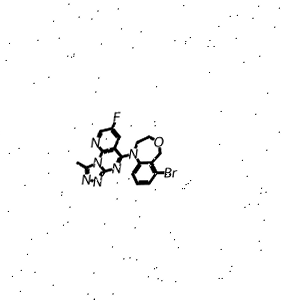 Cc1nnc2nc(N3CCOCc4c(Br)cccc43)c3cc(F)cnc3n12